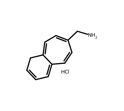 Cl.NCC1=CC=C2CC=CC=C2C=C1